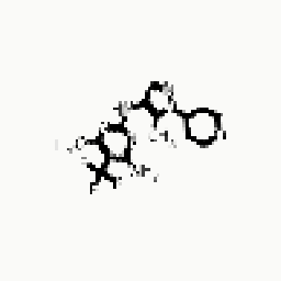 Cc1nc(Nc2cnn(C3CCOCC3)c2C)nc(N)c1C(F)(F)F